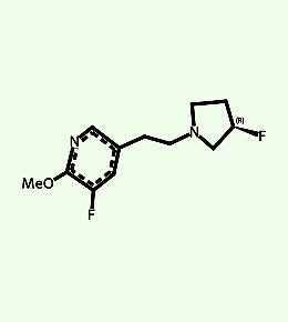 COc1ncc(CCN2CC[C@@H](F)C2)cc1F